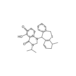 CC1CC=CC2=C1SCc1ccccc1C2N1CN(C(C)C)C(=O)c2c(O)c(=O)ccn21